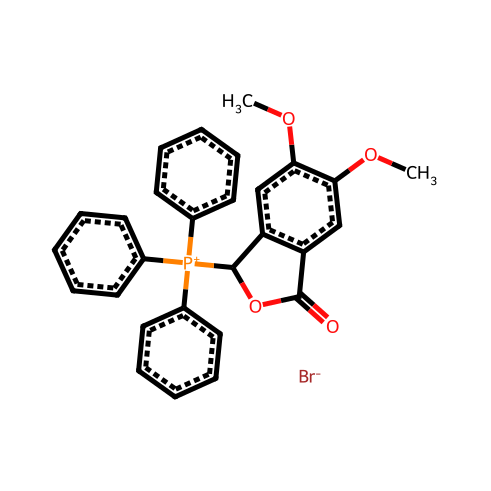 COc1cc2c(cc1OC)C([P+](c1ccccc1)(c1ccccc1)c1ccccc1)OC2=O.[Br-]